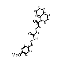 COc1ccc(CCNC(=O)CCCC(=O)N2CCCC3CCCCC32)cc1